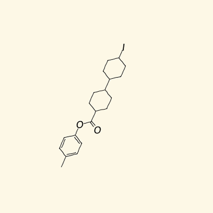 Cc1ccc(OC(=O)C2CCC(C3CCC(I)CC3)CC2)cc1